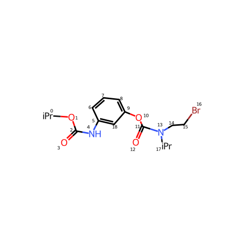 CC(C)OC(=O)Nc1cccc(OC(=O)N(CCBr)C(C)C)c1